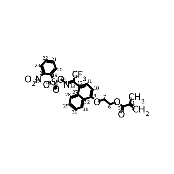 C=C(C)C(=O)OCCOc1ccc(C(=NOS(=O)(=O)c2ccccc2[N+](=O)[O-])C(F)(F)F)c2ccccc12